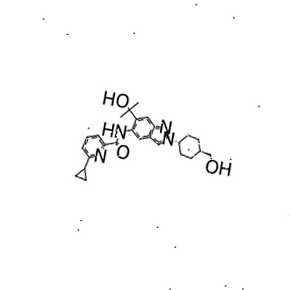 CC(C)(O)c1cc2nn([C@H]3CC[C@H](CO)CC3)cc2cc1NC(=O)c1cccc(C2CC2)n1